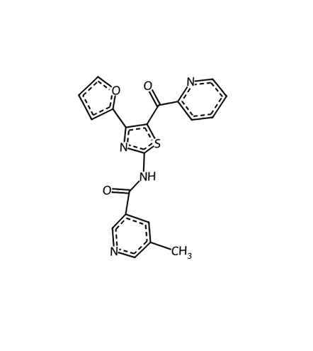 Cc1cncc(C(=O)Nc2nc(-c3ccco3)c(C(=O)c3ccccn3)s2)c1